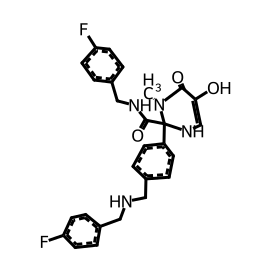 CN1C(=O)C(O)=CNC1(C(=O)NCc1ccc(F)cc1)c1ccc(CNCc2ccc(F)cc2)cc1